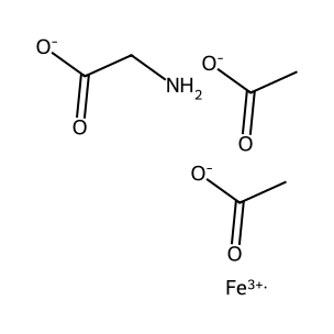 CC(=O)[O-].CC(=O)[O-].NCC(=O)[O-].[Fe+3]